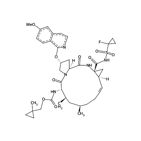 COc1ccc2c(O[C@@H]3C[C@H]4C(=O)N[C@]5(C(=O)NS(=O)(=O)C6(F)CC6)C[C@H]5/C=C\CC[C@@H](C)C[C@@H](C)[C@H](NC(=O)OCC5(C)CC5)C(=O)N4C3)nccc2c1